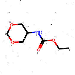 CCOC(=O)NC1COCOC1